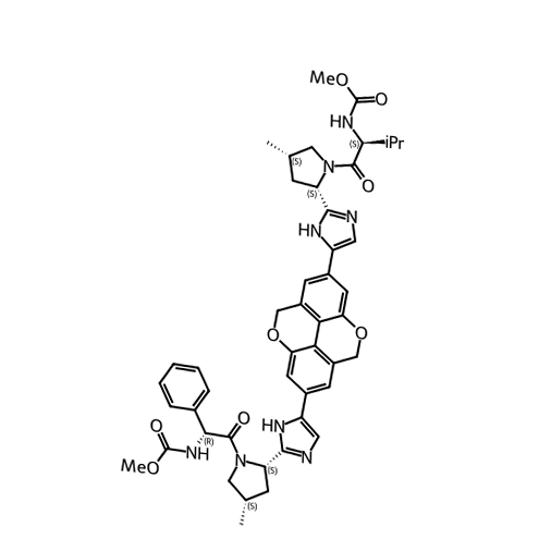 COC(=O)N[C@H](C(=O)N1C[C@@H](C)C[C@H]1c1ncc(-c2cc3c4c(c2)OCc2cc(-c5cnc([C@@H]6C[C@H](C)CN6C(=O)[C@H](NC(=O)OC)c6ccccc6)[nH]5)cc(c2-4)OC3)[nH]1)C(C)C